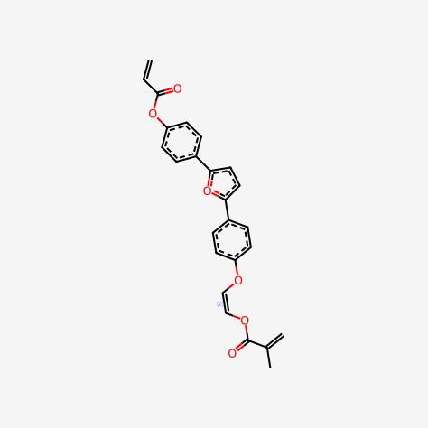 C=CC(=O)Oc1ccc(-c2ccc(-c3ccc(O/C=C\OC(=O)C(=C)C)cc3)o2)cc1